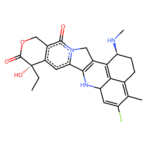 CC[C@@]1(O)C(=O)OCc2c1cc1n(c2=O)CC2=C1NC1C=C(F)C(C)=C3CC[C@H](NC)C2=C31